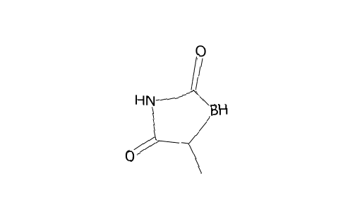 CC1BC(=O)NC1=O